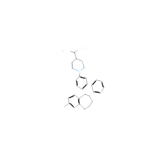 COC(OC)C1CCN(c2ccc([C@H]3c4ccc(C(=O)O)cc4CCC[C@H]3c3ccccc3)cc2)CC1